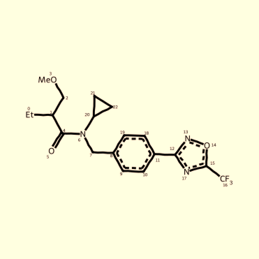 CCC(COC)C(=O)N(Cc1ccc(-c2noc(C(F)(F)F)n2)cc1)C1CC1